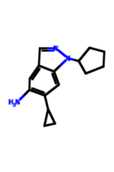 Nc1cc2cnn(C3CCCC3)c2cc1C1CC1